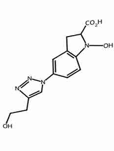 O=C(O)C1Cc2cc(-n3cc(CCO)nn3)ccc2N1O